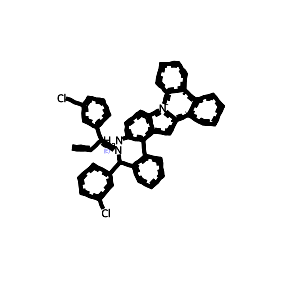 C=C/C(=N\C(c1cccc(Cl)c1)c1ccccc1-c1c(N)ccc2c1cc1c3ccccc3c3ccccc3n21)c1cccc(Cl)c1